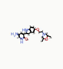 CC1CN(CCOc2ccc3[nH]c(-c4cc(N)c[nH]c4=O)cc3c2)CC(C)O1